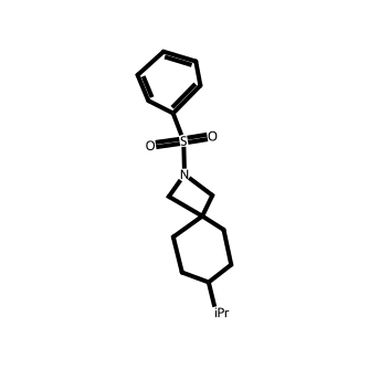 CC(C)C1CCC2(CC1)CN(S(=O)(=O)c1ccccc1)C2